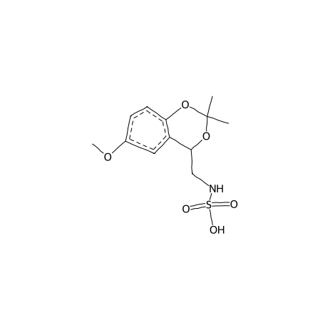 COc1ccc2c(c1)C(CNS(=O)(=O)O)OC(C)(C)O2